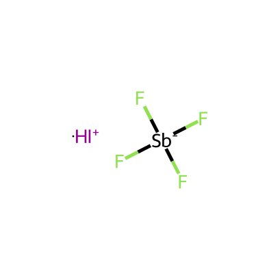 [F][Sb-]([F])([F])[F].[IH+]